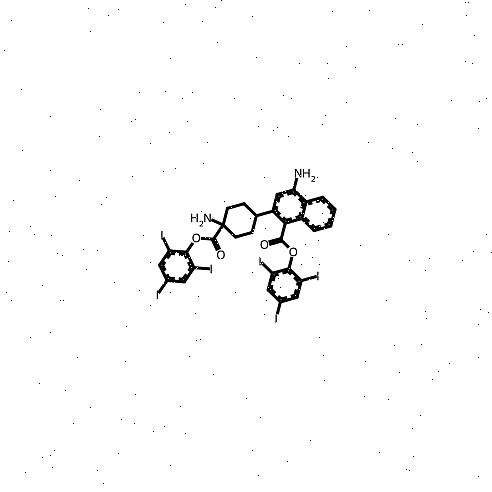 Nc1cc(C2CCC(N)(C(=O)Oc3c(I)cc(I)cc3I)CC2)c(C(=O)Oc2c(I)cc(I)cc2I)c2ccccc12